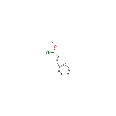 COC(Cl)/C=C/c1ccccc1